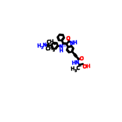 C[C@@H](CO)NC(=O)C#Cc1ccc2c(c1)NC(=O)/C2=C(/Nc1ccc(C(C)(C)N)cc1)c1ccccc1